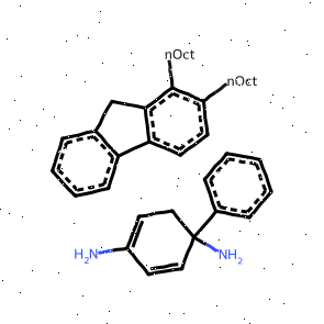 CCCCCCCCc1ccc2c(c1CCCCCCCC)Cc1ccccc1-2.NC1=CCC(N)(c2ccccc2)C=C1